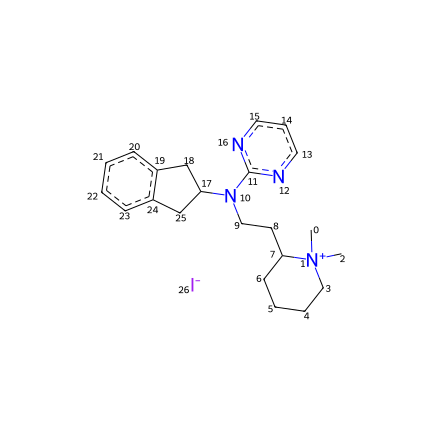 C[N+]1(C)CCCCC1CCN(c1ncccn1)C1Cc2ccccc2C1.[I-]